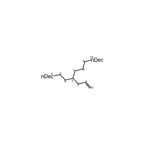 C=C[CH]C(CCCCCCCCCCCC)CCCCCCCCCCCCC